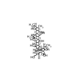 CC(=O)N/C(=C(\O)[C@@H](CCO)O[C@H](O)/C(O)=C(\O)[C@@H](O)CCO)[C@@H](O)OC1C(O)[C@H](O)C(CO)O[C@@H]1OC1C(O)[C@H](O[C@@H]2C(CO)O[C@@H](O[C@@H]3C(CO)O[C@@H](C)C(NC(C)=O)C3O)C(NC(C)=O)C2O)OC(CO)[C@H]1O